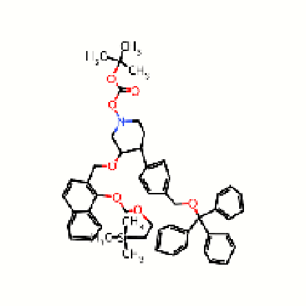 CC(C)(C)OC(=O)ON1CCC(c2ccc(COC(c3ccccc3)(c3ccccc3)c3ccccc3)cc2)C(OCc2ccc3ccccc3c2OCOCC[Si](C)(C)C)C1